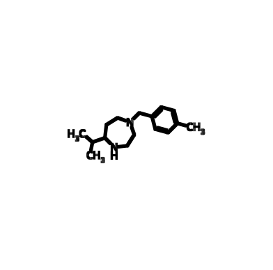 Cc1ccc(CN2CCNC(C(C)C)CC2)cc1